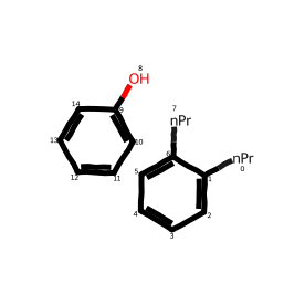 CCCc1ccccc1CCC.Oc1ccccc1